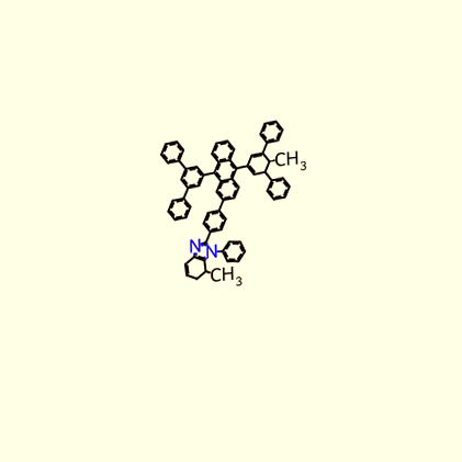 CC1CC=Cc2nc(-c3ccc(-c4ccc5c(C6=CC(c7ccccc7)[C@H](C)C(c7ccccc7)=C6)c6ccccc6c(-c6cc(-c7ccccc7)cc(-c7ccccc7)c6)c5c4)cc3)n(-c3ccccc3)c21